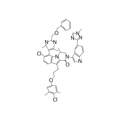 Cc1cc(OCCCc2c3n(c4c(-c5c(C)nc(COCc6ccccc6)nc5C)c(Cl)ccc24)C(C)CN(c2cn(C)c4ccc(-c5ncn(C)n5)cc24)C3=O)cc(C)c1Cl